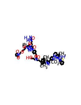 Cc1c(Nc2nc3ccccc3s2)nnc2c1CCCN2c1ccc(-c2cnn(CC34CC5(CCCN(CCCO)C(=O)OCc6ccc(NC(=O)[C@H](CCCNC(N)=O)NC(=O)[C@@H](NC(=O)CCOCCN7C(=O)C=CC7=O)C(C)C)cc6)C[C@@](C)(C3)C[C@](C)(C5)C4)c2C)c(C(=O)O)n1